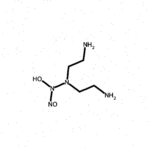 NCCN(CCN)N(O)N=O